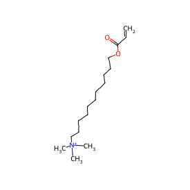 C=CC(=O)OCCCCCCCCCCC[N+](C)(C)C